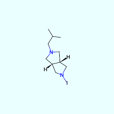 CC(C)CN1C[C@H]2CN(I)C[C@H]2C1